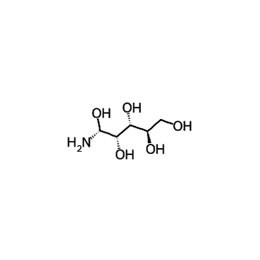 N[C@H](O)[C@@H](O)[C@H](O)[C@H](O)CO